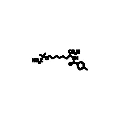 Cc1ccc(C(=O)NC(CCCCCCOC(C)(C)C(=O)O)C(=O)O)cc1